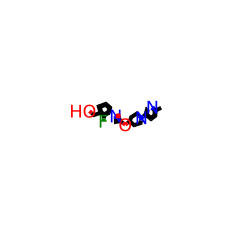 Cc1ccc(N2CCC(OC3CN(c4cccc(CO)c4F)C3)CC2)cn1